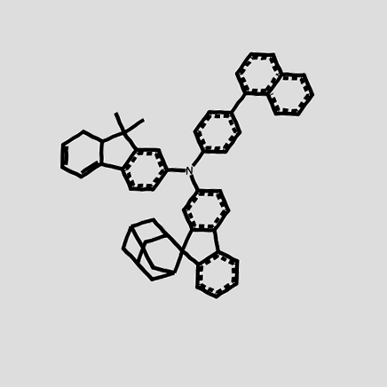 CC1(C)c2cc(N(c3ccc(-c4cccc5ccccc45)cc3)c3ccc4c(c3)C3(c5ccccc5-4)C4CC5CC(C4)CC3C5)ccc2C2=CC=CCC21